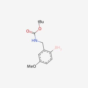 Bc1ccc(OC)cc1CNC(=O)OC(C)(C)C